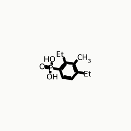 CCc1ccc(P(=O)(O)O)c(CC)c1C